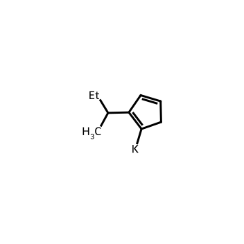 CCC(C)C1=[C]([K])CC=C1